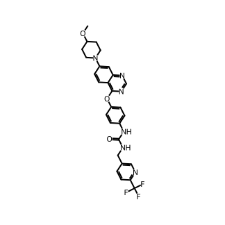 COC1CCN(c2ccc3c(Oc4ccc(NC(=O)NCc5ccc(C(F)(F)F)nc5)cc4)ncnc3c2)CC1